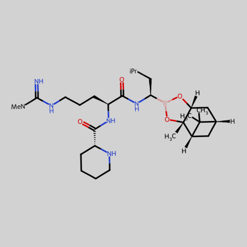 CNC(=N)NCCC[C@H](NC(=O)[C@H]1CCCCN1)C(=O)N[C@@H](CC(C)C)B1O[C@@H]2C[C@@H]3C[C@@H](C3(C)C)[C@]2(C)O1